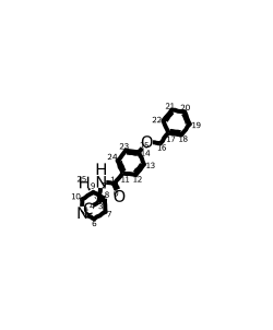 O=C(N[C@@H]1CN2CCC1CC2)c1ccc(OCc2ccccc2)cc1